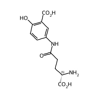 N[C@@H](CCC(=O)Nc1ccc(O)c(C(=O)O)c1)C(=O)O